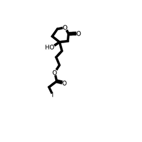 O=C(CI)OCCCC1(O)CCOC(=O)C1